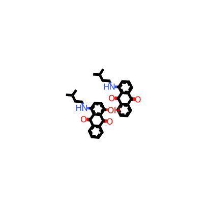 CC(C)CCNc1ccc(O)c2c1C(=O)c1ccccc1C2=O.CC(C)CCNc1cccc2c1C(=O)c1ccccc1C2=O